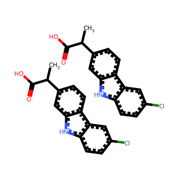 CC(C(=O)O)c1ccc2c(c1)[nH]c1ccc(Cl)cc12.CC(C(=O)O)c1ccc2c(c1)[nH]c1ccc(Cl)cc12